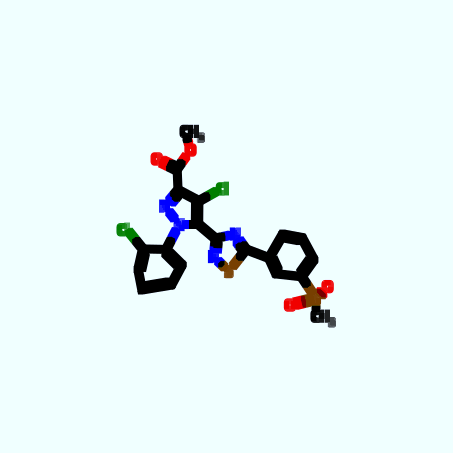 COC(=O)c1nn(-c2ccccc2Cl)c(-c2nsc(-c3cccc(S(C)(=O)=O)c3)n2)c1Cl